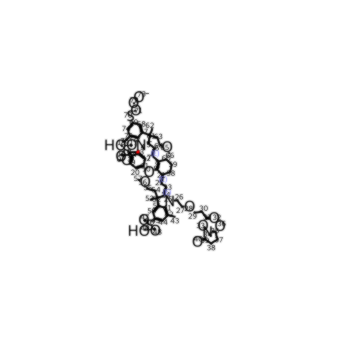 COCC[N+]1=C(/C=C/C2=C(Oc3ccc(S(=O)(=O)O)cc3)C(=C/C=C3/N(CCOCCC(=O)ON4C(=O)CCC4=O)c4c(C)cc(S(=O)(=O)O)cc4C3(C)CCOC)/CCC2)C(C)(CCOC)c2cc(SOO[O-])cc(C)c21